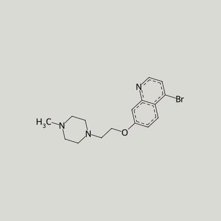 CN1CCN(CCOc2ccc3c(Br)ccnc3c2)CC1